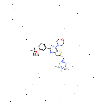 C[C@@H]1CN(Cc2cc3nc(-c4cccc(O[Si](C)(C)C(C)(C)C)c4)nc(N4CCOCC4)c3s2)C[C@H](C)N1